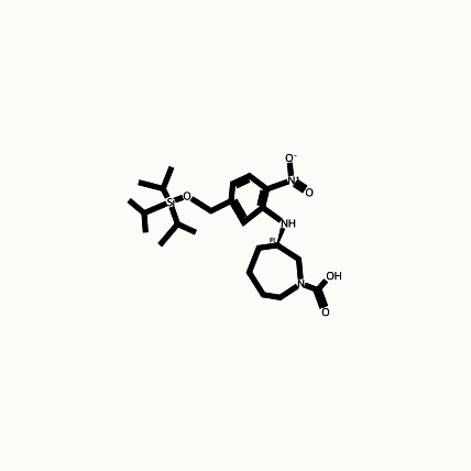 CC(C)[Si](OCc1ccc([N+](=O)[O-])c(N[C@@H]2CCCCN(C(=O)O)C2)c1)(C(C)C)C(C)C